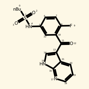 CCCCS(=O)(=O)Nc1ccc(F)c(C(=O)c2c[nH]c3ncccc23)c1